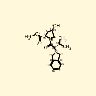 COC(=O)[C@@H]1C[C@@H](O)CN1C(=O)[C@H](C(C)C)N1Cc2ccccc2C1